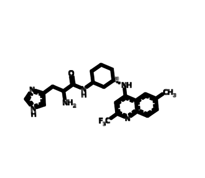 Cc1ccc2nc(C(F)(F)F)cc(N[C@H]3CCCC(NC(=O)C(N)Cc4c[nH]cn4)C3)c2c1